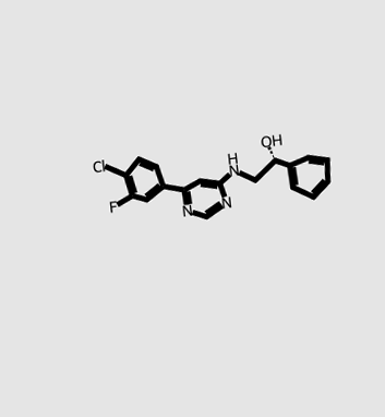 O[C@@H](CNc1cc(-c2ccc(Cl)c(F)c2)ncn1)c1ccccc1